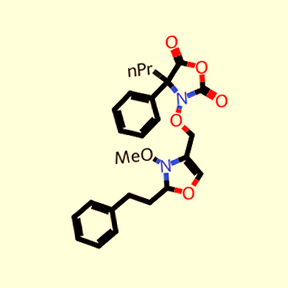 CCCC1(c2ccccc2)C(=O)OC(=O)N1OCC1=COC(CCc2ccccc2)N1OC